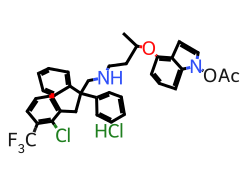 CC(=O)On1ccc2c(OC(C)CCNCC(Cc3cccc(C(F)(F)F)c3Cl)(c3ccccc3)c3ccccc3)cccc21.Cl